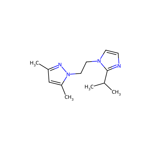 Cc1cc(C)n(CCn2ccnc2C(C)C)n1